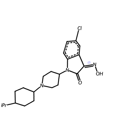 CC(C)C1CCC(N2CCC(N3C(=O)/C(=N\O)c4cc(Cl)ccc43)CC2)CC1